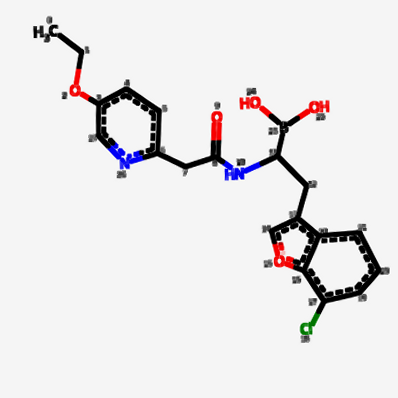 CCOc1ccc(CC(=O)NC(Cc2coc3c(Cl)cccc23)B(O)O)nc1